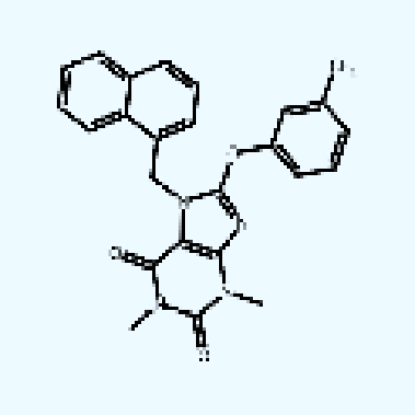 Cn1c(=O)c2c(nc(Oc3cccc(C(F)(F)F)c3)n2Cc2cccc3ccccc23)n(C)c1=O